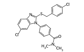 CN(C)C(=O)c1ccc(-n2c(SCc3ccc(Cl)cc3)nc3ccc(Cl)cc32)cc1